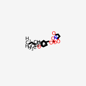 CCCC(C)(C)[Si](C)(C)Oc1ccc(COC(=O)ON2C(=O)CCC2=O)cc1